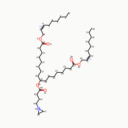 CCCCCC/C=C\COC(=O)CCCCCCCC(CCCCCCCC(=O)OC/C=C\CCCCCC)OC(=O)CCCN1CC1